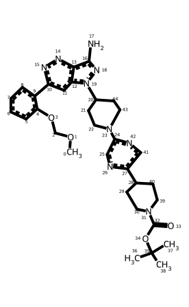 COCOc1ccccc1-c1cc2c(nn1)c(N)nn2C1CCN(c2cnc(C3CCN(C(=O)OC(C)(C)C)CC3)cn2)CC1